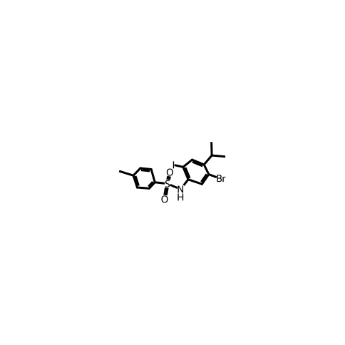 Cc1ccc(S(=O)(=O)Nc2cc(Br)c(C(C)C)cc2I)cc1